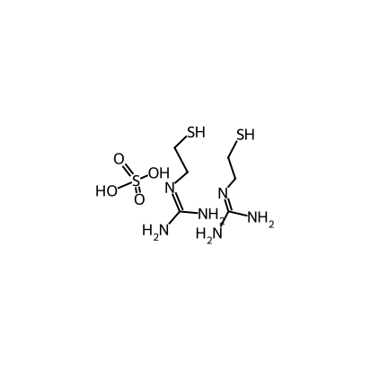 NC(N)=NCCS.NC(N)=NCCS.O=S(=O)(O)O